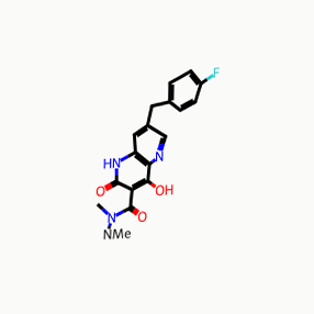 CNN(C)C(=O)c1c(O)c2ncc(Cc3ccc(F)cc3)cc2[nH]c1=O